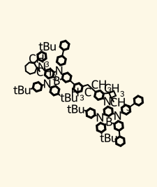 CC(C)(C)c1ccc(N2c3ccc(C(C)(C)C)cc3B3c4cc(-c5cccc(CC(C)(C)c6ccc7c(c6)C6(C)CCC6(C)N7c6cc7c8c(c6)N(c6ccc(C(C)(C)C)cc6)c6ccc(C(C)(C)C)cc6B8c6cc(-c8ccccc8)ccc6N7c6ccc(-c7ccccc7)cc6)c5)ccc4N(c4ccc(-c5ccccc5)cc4)c4cc(N5c6ccc(C(C)(C)C)cc6C6(C)CCCCCC56C)cc2c43)cc1